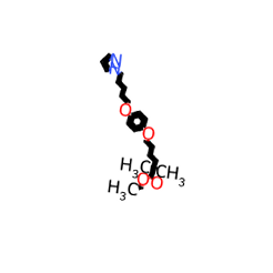 CCOC(=O)C(C)(C)CCCCOc1ccc(OCCCCCn2cccn2)cc1